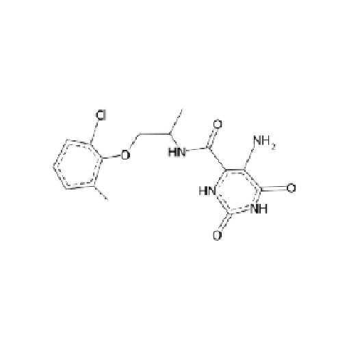 Cc1cccc(Cl)c1OCC(C)NC(=O)c1[nH]c(=O)[nH]c(=O)c1N